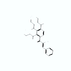 CCCC(C)c1ccc(C(=O)C(O)=Cc2ccccc2)c(C(C)CCC)c1C(C)CCC